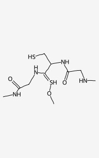 CNCC(=O)NC(CS)C(NCC(=O)NC)=[SH]OC